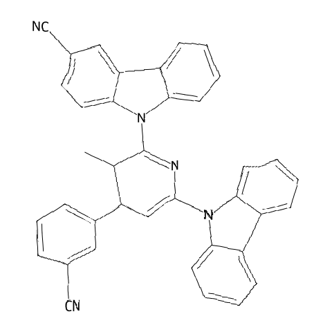 CC1C(n2c3ccccc3c3cc(C#N)ccc32)=NC(n2c3ccccc3c3ccccc32)=CC1c1cccc(C#N)c1